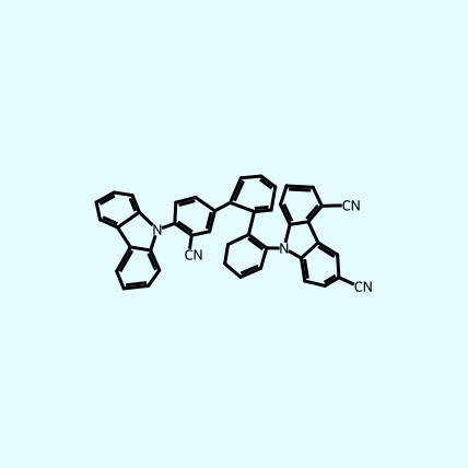 N#Cc1ccc2c(c1)c1c(C#N)cccc1n2C1=C(c2ccccc2-c2ccc(-n3c4ccccc4c4ccccc43)c(C#N)c2)CCC=C1